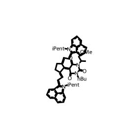 CCCCN1C(=O)/C(=C2C(=C\C=c3\c4cccc5cccc(c54)n3C(C)CCC)/CCC/2=C\C=c2\c3cccc4cccc(c43)n2C(C)CCC)C(=O)N(C(C)COC)C1=O